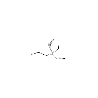 C=CC(CC)(CCC)N=C